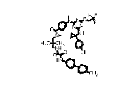 Cc1ccc(-c2ccc(NC(=O)C(=O)NCC(C)(C)CNC(=O)c3ccc(Nc4nc(NC5(c6ccc(Cl)cc6)CC5)nc(OCC(F)(F)F)n4)cc3)cc2)cc1